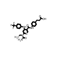 CCN(C(N)=O)c1cc(Nc2ccc(C(F)(F)F)cc2)c(C(=O)Nc2ccc(CCC(=O)O)cc2)cn1